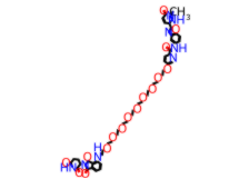 CN1NC(c2nc3cc(NC(=O)c4ccc(OCCOCCOCCOCCOCCOCCOCCOCCOCCNc5cccc6c5C(=O)N(C5CCC(=O)NC5=O)C6=O)cn4)ccc3o2)C=CC1=O